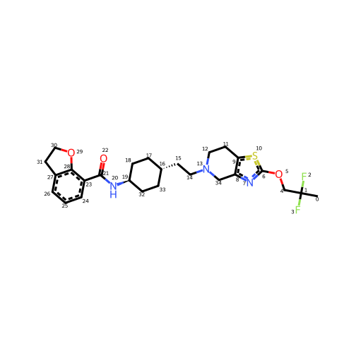 CC(F)(F)COc1nc2c(s1)CCN(CC[C@H]1CC[C@H](NC(=O)c3cccc4c3OCC4)CC1)C2